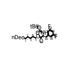 CCCCCCCCCCCCCCCOC(=O)[C@H](Cc1cc(F)cc(F)c1)NC(=O)OC(C)(C)C